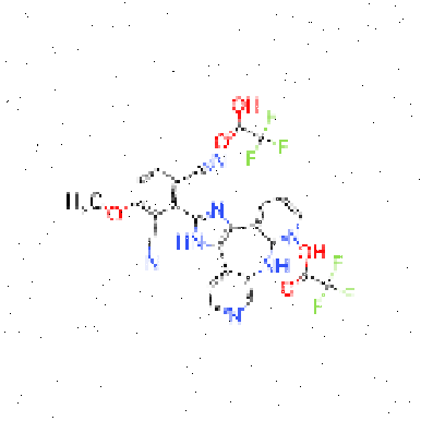 COc1ccc(C#N)c(-c2nc3c([nH]2)-c2ccncc2Nc2ncccc2-3)c1C#N.O=C(O)C(F)(F)F.O=C(O)C(F)(F)F